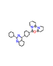 C1=CB2OB(c3ccc(-c4nc(-c5ccccc5)nc5ccccc45)cc3)N3C=CC=CB3N2C=C1